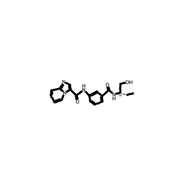 CC[C@@H](CO)NC(=O)c1cccc(NC(=O)c2cnc3ccccn23)c1